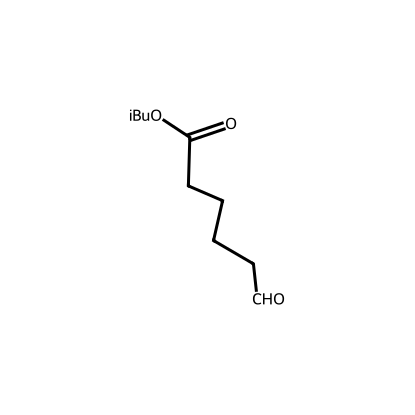 CC(C)COC(=O)CCCCC=O